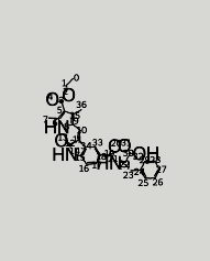 CCOC(=O)c1c(C)[nH]c(C=C2C(=O)Nc3ccc(C(=O)N[C@@H](Cc4ccccc4)C(=O)O)cc32)c1C